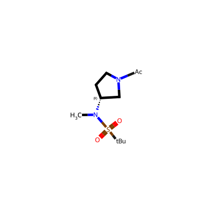 CC(=O)N1CC[C@@H](N(C)S(=O)(=O)C(C)(C)C)C1